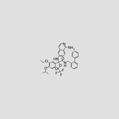 CCOc1cc(C(Nc2ccc3c(N)nccc3c2)(OC(=O)C(F)(F)F)C(=O)NCc2ccccc2-c2ccccc2)ccc1OC(C)C